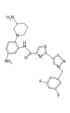 Nc1ccc(N2CCCC(N)C2)c(NC(=O)c2csc(-c3cnn(Cc4cc(F)cc(F)c4)c3)n2)c1